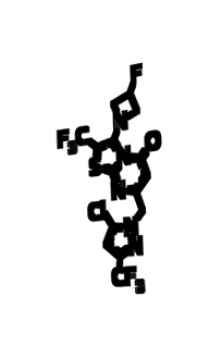 O=c1cc(Cn2nc(C(F)(F)F)cc2Cl)nc2sc(C(F)(F)F)c(N3CC(F)C3)n12